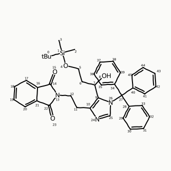 CC(C)(C)[Si](C)(C)OCCC(O)c1c(CCN2C(=O)c3ccccc3C2=O)ncn1C(c1ccccc1)(c1ccccc1)c1ccccc1